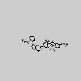 Cc1cc(OCc2c(C(C)C)cnn2-c2ccccc2OC(F)(F)F)ccc1C(C)(C)Sc1cccc(C(=O)O)c1